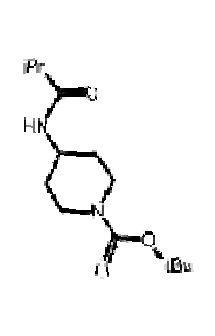 CC(C)C(=O)NC1CCN(C(=O)OC(C)(C)C)CC1